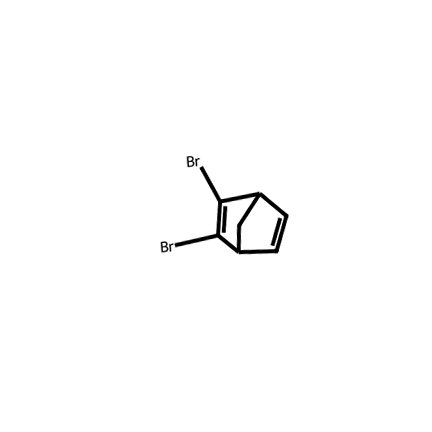 BrC1=C(Br)C2C=CC1C2